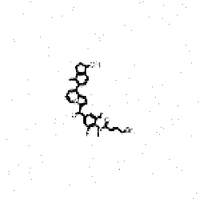 Cc1c(-c2cccn3c(C(=O)c4cc(F)c(NC(=O)/C=C/CBr)c(F)c4)ccc23)ccc2c1CCC2O